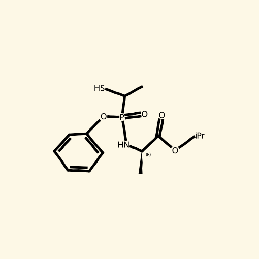 CC(C)OC(=O)[C@@H](C)NP(=O)(Oc1ccccc1)C(C)S